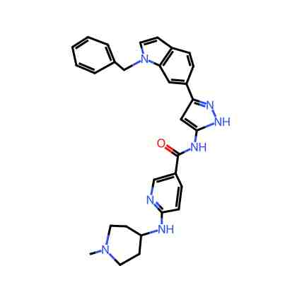 CN1CCC(Nc2ccc(C(=O)Nc3cc(-c4ccc5ccn(Cc6ccccc6)c5c4)n[nH]3)cn2)CC1